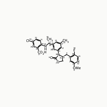 COc1cc(C[C@H]2COC(=O)N2c2cc(C)cc([C@@H](C)Nc3ccc(Cl)nc3C(=O)O)n2)c(F)cn1